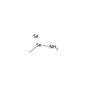 C[Se]N.[Se]